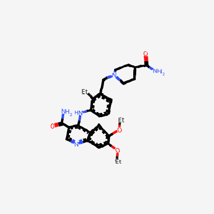 CCOc1cc2ncc(C(N)=O)c(Nc3cccc(CN4CCC(C(N)=O)CC4)c3CC)c2cc1OCC